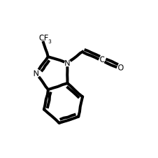 O=C=Cn1c(C(F)(F)F)nc2ccccc21